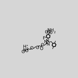 Cc1ccc(C)c(Cc2nc(COC(=O)COCCOCCO[NH2+][O-])nn2-c2ccc(S(N)(=O)=O)cc2F)c1